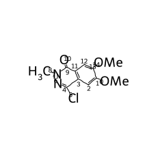 COc1cc2c(Cl)nn(C)c(=O)c2cc1OC